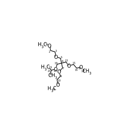 COCCOCC(COCCOC)(COCCOC)COC(C)C